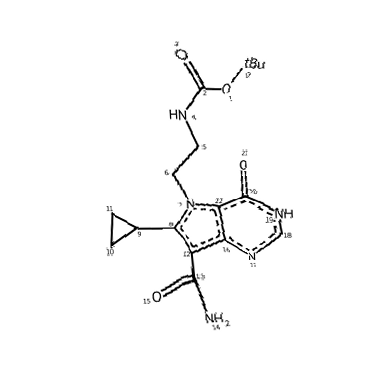 CC(C)(C)OC(=O)NCCn1c(C2CC2)c(C(N)=O)c2nc[nH]c(=O)c21